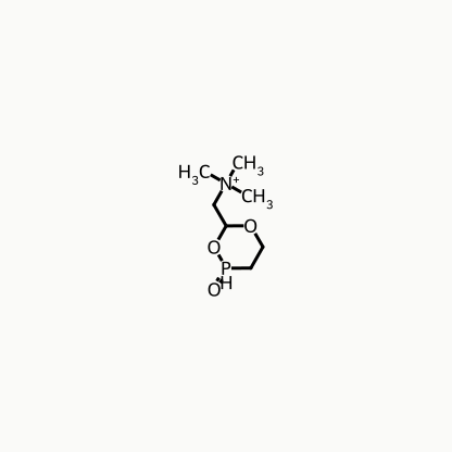 C[N+](C)(C)CC1OCC[PH](=O)O1